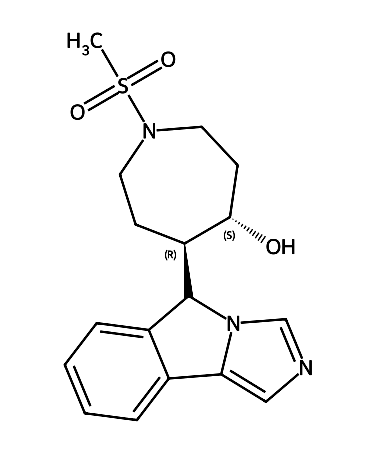 CS(=O)(=O)N1CC[C@H](C2c3ccccc3-c3cncn32)[C@@H](O)CC1